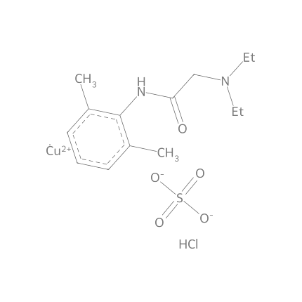 CCN(CC)CC(=O)Nc1c(C)cccc1C.Cl.O=S(=O)([O-])[O-].[Cu+2]